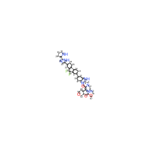 CCCCN(Cc1nc2ccc(-c3ccc4c(c3)C(F)(F)c3cc(-c5cnc([C@@H]6CCCN6)[nH]5)ccc3-4)cc2[nH]1)C(=O)[C@@H](NC(=O)OC)C1CCOCC1